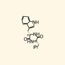 CC(C)C[C@@H]1NC(=O)[C@H](Cc2c[nH]c3ccccc23)NC1=O